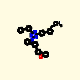 CCCc1cccc(-c2ccc(-c3nc(-c4cccc(-c5ccccc5)c4)nc(-n4c5ccccc5c5cc(-c6ccc7oc8ccccc8c7c6)ccc54)n3)cc2)c1